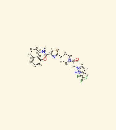 CN(C(=O)c1csc(C2CCN(C(=O)CN3C=CC(C)(C(F)(F)F)N3)CC2)n1)[C@@H]1CCCc2ccccc21